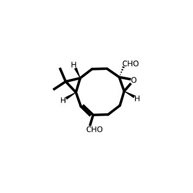 CC1(C)[C@@H]2CC[C@@]3(C=O)O[C@@H]3CC/C(C=O)=C\[C@@H]21